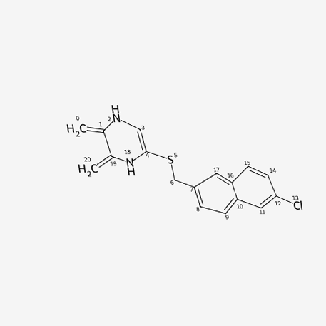 C=C1NC=C(SCc2ccc3cc(Cl)ccc3c2)NC1=C